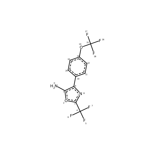 Nc1oc(C(F)(F)F)nc1-c1ccc(OC(F)(F)F)cc1